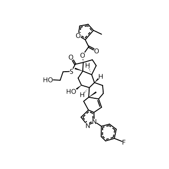 Cc1ccoc1C(=O)O[C@]1(C(=O)SCCO)CC[C@H]2[C@@H]3CCC4=Cc5c(cnn5-c5ccc(F)cc5)C[C@]4(C)[C@H]3[C@@H](O)C[C@@]21C